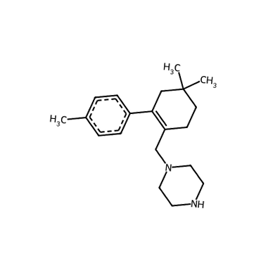 Cc1ccc(C2=C(CN3CCNCC3)CCC(C)(C)C2)cc1